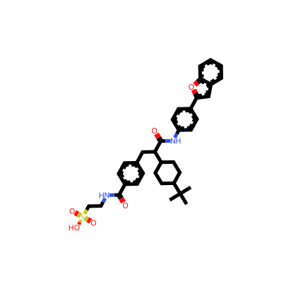 CC(C)(C)C1CCC(C(Cc2ccc(C(=O)NCCS(=O)(=O)O)cc2)C(=O)Nc2ccc(-c3cc4ccccc4o3)cc2)CC1